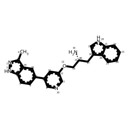 Cc1n[nH]c2ccc(-c3cncc(OC[C@H](N)Cc4c[nH]c5ccccc45)c3)cc12